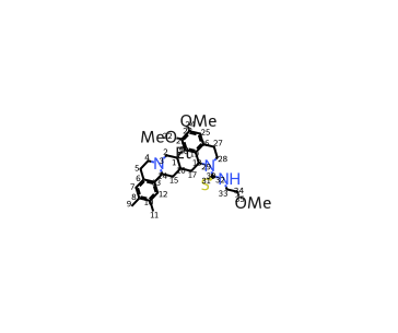 CCC1CN2CCc3cc(C)c(C)cc3C2CC1CC1c2cc(OC)c(OC)cc2CCN1C(=S)NCCOC